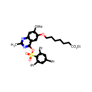 CCOC(=O)CCCCCCOc1cc2c(OS(=O)(=O)c3c(C(C)C)cc(C(C)C)cc3C(C)C)nc(C)nc2cc1OC